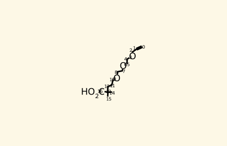 C#CCOCCOCCOCCCC(C)(C)C(=O)O